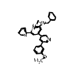 COc1cccc(-c2cncc(-c3cc(NCc4ccccc4)nc(-c4ccccn4)c3)c2)c1